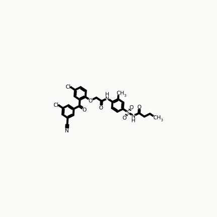 CCCC(=O)NS(=O)(=O)c1ccc(NC(=O)COc2ccc(Cl)cc2C(=O)c2cc(Cl)cc(C#N)c2)c(C)c1